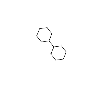 C1CCC(C2OCCCS2)CC1